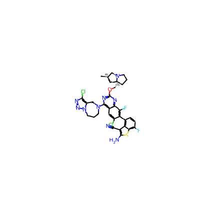 C[C@H]1CN2CCC[C@@]2(COc2nc(N3CCCn4nnc(Cl)c4C3)c3cc(Cl)c(-c4ccc(F)c5sc(N)c(C#N)c45)c(F)c3n2)C1